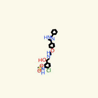 CS(=O)(=O)Nc1cc([C@@H](O)CNCCOc2ccc(-c3c[nH]c(-c4ccccc4)n3)cc2)ccc1Cl